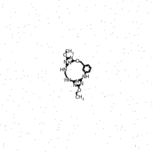 CCOc1nc2nc(n1)Nc1cccc(c1)COc1nc(nc(OC)n1)NCCN2